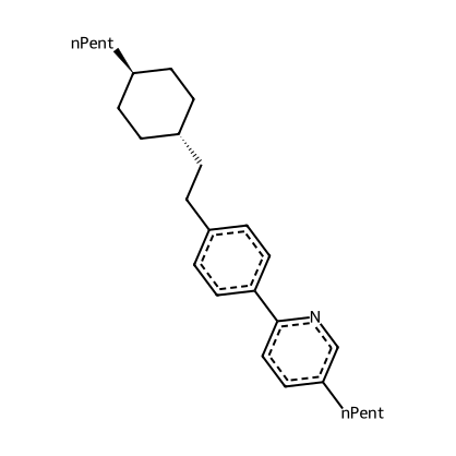 CCCCCc1ccc(-c2ccc(CC[C@H]3CC[C@H](CCCCC)CC3)cc2)nc1